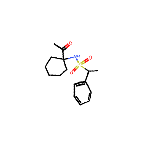 CC(=O)C1(NS(=O)(=O)C(C)c2ccccc2)CCCCC1